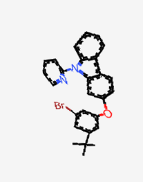 CC(C)(C)c1cc(Br)cc(Oc2ccc3c4ccccc4n(-c4ccccn4)c3c2)c1